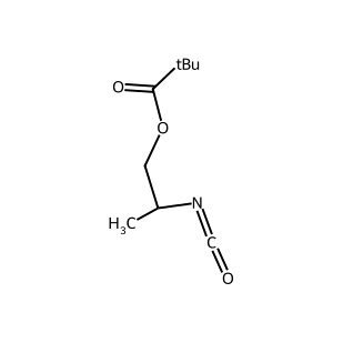 CC(COC(=O)C(C)(C)C)N=C=O